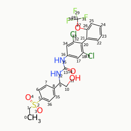 CCS(=O)(=O)c1ccc(C(CO)NC(=O)Nc2cc(Cl)c(-c3ccccc3OC(F)(F)F)c(Cl)c2)cc1